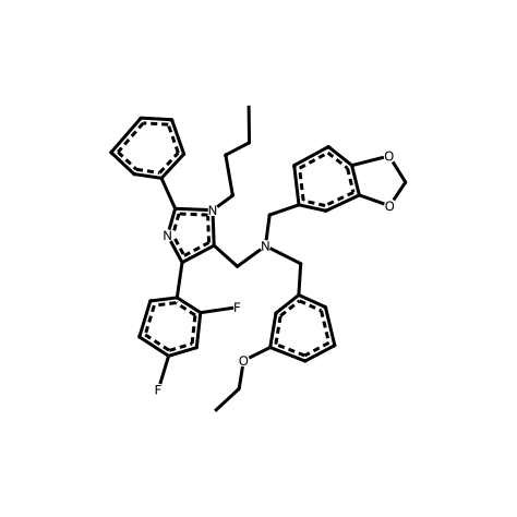 CCCCn1c(-c2ccccc2)nc(-c2ccc(F)cc2F)c1CN(Cc1cccc(OCC)c1)Cc1ccc2c(c1)OCO2